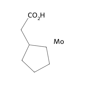 O=C(O)CC1CCCC1.[Mo]